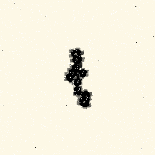 c1cc(-c2ccc(N(c3ccccc3-c3cccc4c3oc3cc5ccccc5cc34)c3cccc4ccccc34)cc2)cc(-c2cccc3ccccc23)c1